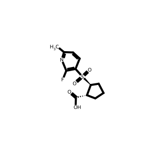 Cc1ccc(S(=O)(=O)[C@H]2CCC[C@@H]2C(=O)O)c(F)n1